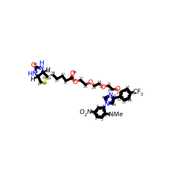 CNc1ccc([N+](=O)[O-])cc1-n1cnc(-c2ccc(C(F)(F)F)cc2OCCOCCOCCOC(=O)CCCC[C@@H]2SC[C@@H]3NC(=O)N[C@@H]32)c1